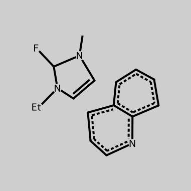 CCN1C=CN(C)C1F.c1ccc2ncccc2c1